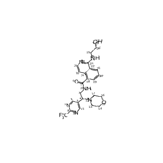 O=C(NCC(c1cnc(C(F)(F)F)nc1)N1CCOCC1)c1cccc2c(NCCO)nccc12